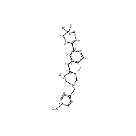 C[C@@H]1CN(Cc2ccc(C(=O)O)cc2)C[C@H](C)N1Cc1cccc(C2=CCC(C)(C)CC2)c1